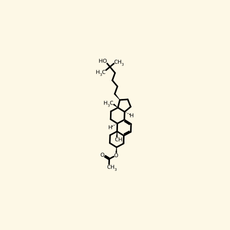 CC(=O)O[C@H]1CC[C@@]2(C)C(=CC=C3[C@@H]4CC[C@H](CCCCC(C)(C)O)[C@@]4(C)CC[C@@H]32)C1